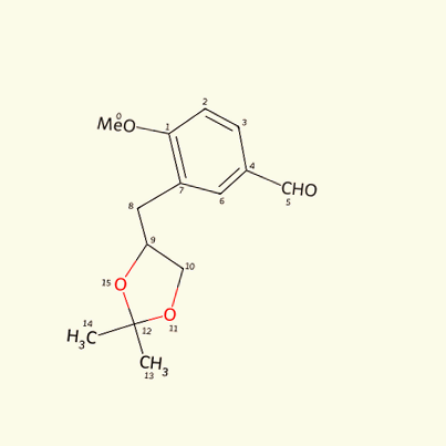 COc1ccc(C=O)cc1CC1COC(C)(C)O1